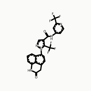 O=C1Cc2ccc(-n3ncc(C(=O)Nc4ccnc(C(F)(F)F)c4)c3C(F)(F)F)c3cccc(c23)N1